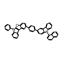 c1ccc(-n2c3ccccc3c3c4cc(-c5ccc(-c6ccc7c(c6)c6ccccc6n7-c6cccc7ccccc67)cc5)ccc4oc32)cc1